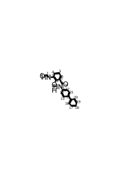 O=CNc1cccc(C(=O)Nc2ccc(-c3ccccc3)cc2)c1O